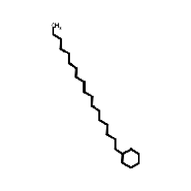 CCCCCCCCCCCCCCCCCC[C]1CCCCC1